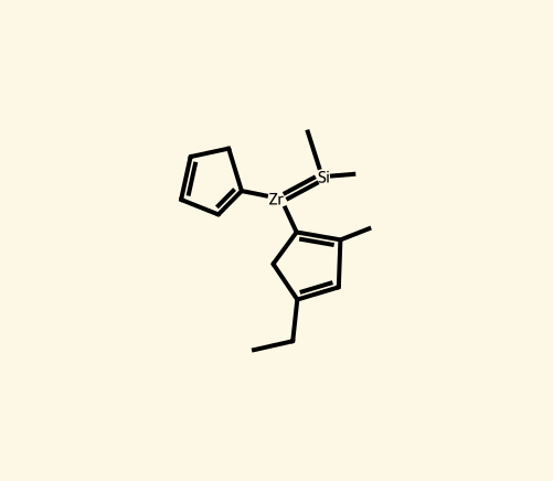 CCC1=CC(C)=[C]([Zr]([C]2=CC=CC2)=[Si](C)C)C1